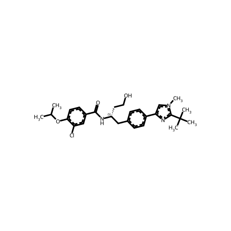 CC(C)Oc1ccc(C(=O)N[C@H](CCO)Cc2ccc(-c3cn(C)c(C(C)(C)C)n3)cc2)cc1Cl